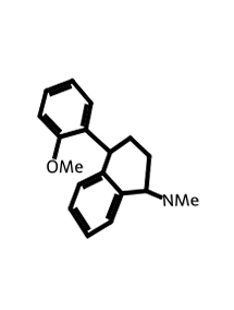 CNC1CCC(c2ccccc2OC)c2ccccc21